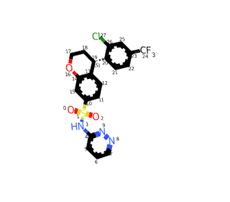 O=S(=O)(Nc1cccnn1)c1ccc2c(c1)OCC[C@@H]2c1ccc(C(F)(F)F)cc1Cl